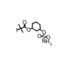 CC(C)(I)C(=O)OC1CCCC(OS(N)(=O)=O)C1